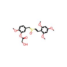 COc1cc(OC)c(/C=C/[S+]([O-])Cc2ccc(OC)c(OC(=O)CO)c2)c(OC)c1